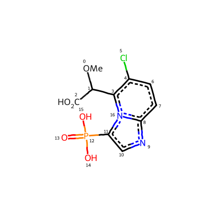 COC(C(=O)O)c1c(Cl)ccc2ncc(P(=O)(O)O)n12